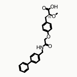 CO[C@@H](Cc1ccc(OCC(=O)NCc2ccc(-c3ccccc3)cc2)cc1)C(=O)O